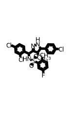 Cc1ccc(F)cc1S(=O)(=O)NC(C1=NNC(c2ccc(Cl)cc2)C1C)c1ccc(Cl)cc1Cl